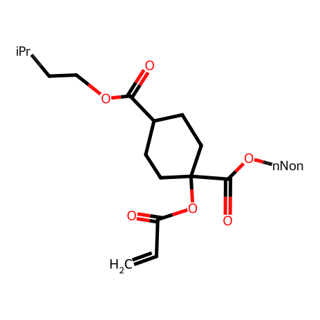 C=CC(=O)OC1(C(=O)OCCCCCCCCC)CCC(C(=O)OCCC(C)C)CC1